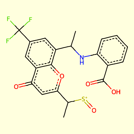 CC(Nc1ccccc1C(=O)O)c1cc(C(F)(F)F)cc2c(=O)cc(C(C)[S+]=O)oc12